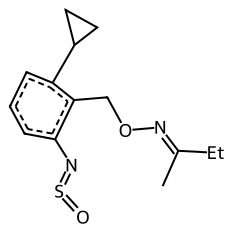 CCC(C)=NOCc1c(N=S=O)cccc1C1CC1